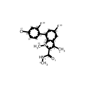 CNC(=O)c1c(C)c2cc(F)cc(-c3ccc(Cl)cc3F)c2n1C